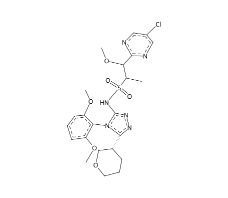 COc1cccc(OC)c1-n1c(NS(=O)(=O)C(C)C(OC)c2ncc(Cl)cn2)nnc1[C@@H]1CCCOC1